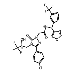 O=C(Cn1nc(-c2ccc(Cl)cc2)n(C[C@H](O)C(F)(F)F)c1=O)NC(c1cccc(C(F)(F)F)c1)c1ncon1